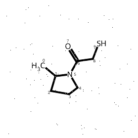 CC1CCCN1C(=O)CS